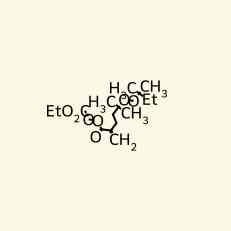 C=C(CCC(C)(C)OOC(C)(C)CC)C(=O)OOC(=O)OCC